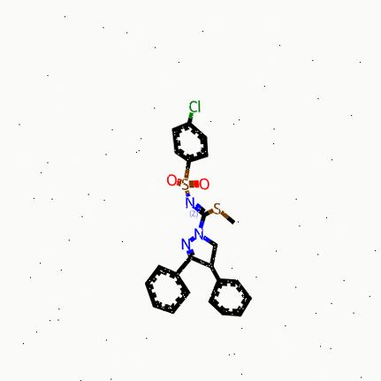 CS/C(=N\S(=O)(=O)c1ccc(Cl)cc1)N1CC(c2ccccc2)C(c2ccccc2)=N1